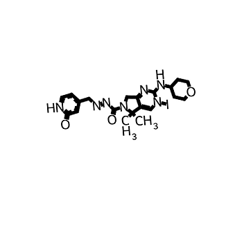 CC1(C)C2=CN(I)C(NC3CCOCC3)N=C2CN1C(=O)N=NCc1cc[nH]c(=O)c1